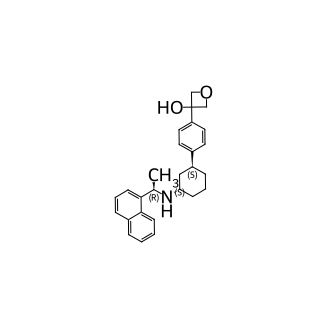 C[C@@H](N[C@H]1CCC[C@H](c2ccc(C3(O)COC3)cc2)C1)c1cccc2ccccc12